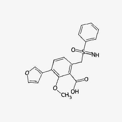 COc1c(-c2ccoc2)ccc(CS(=N)(=O)c2ccccc2)c1C(=O)O